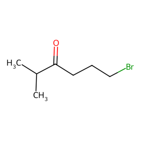 CC(C)C(=O)CCCBr